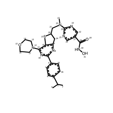 CC(C)c1ccc(-c2nc3c(c(N4CCOCC4)n2)SC(CN(C)c2ncc(C(=O)NO)cn2)C3)cc1